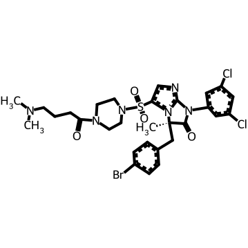 CN(C)CCCC(=O)N1CCN(S(=O)(=O)c2cnc3n2[C@](C)(Cc2ccc(Br)cc2)C(=O)N3c2cc(Cl)cc(Cl)c2)CC1